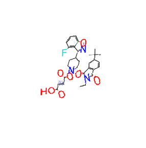 CCN1C(=O)c2ccc(C(C)(C)C)cc2C1=O.O=C(O)/C=C/C(=O)ON1CCC(c2noc3cccc(F)c23)CC1